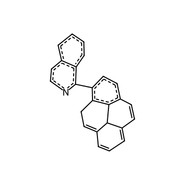 C1=CC2=CCc3c(-c4nccc5ccccc45)ccc4c3C2C(=C1)C=C4